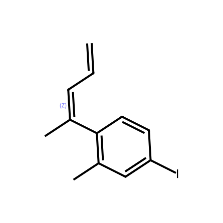 C=C/C=C(/C)c1ccc(I)cc1C